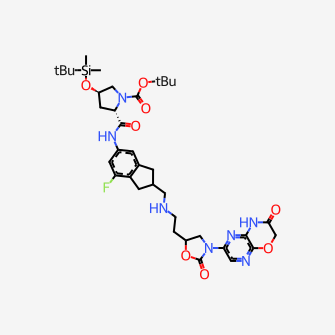 CC(C)(C)OC(=O)N1C[C@H](O[Si](C)(C)C(C)(C)C)C[C@H]1C(=O)Nc1cc(F)c2c(c1)CC(CNCCC1CN(c3cnc4c(n3)NC(=O)CO4)C(=O)O1)C2